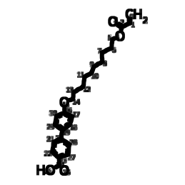 C=CC(=O)OCCCCCCCCCCOc1ccc(-c2ccc(C(=O)O)cc2)cc1